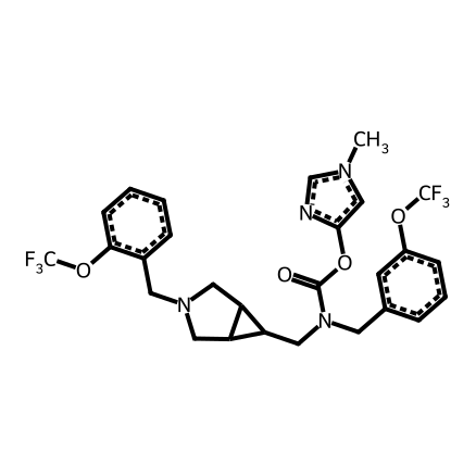 Cn1cnc(OC(=O)N(Cc2cccc(OC(F)(F)F)c2)CC2C3CN(Cc4ccccc4OC(F)(F)F)CC32)c1